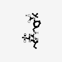 CCc1cnn2c(NCc3cccc(N(C(=O)O)C(C)(C)C)c3)nc(S(C)(=O)=O)nc12